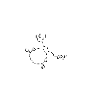 O=C(O)CCCCCCCC(=O)O.O=C1CCCCC(=O)OCCCCO1